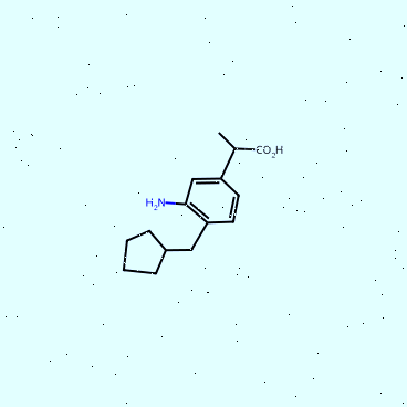 CC(C(=O)O)c1ccc(CC2CCCC2)c(N)c1